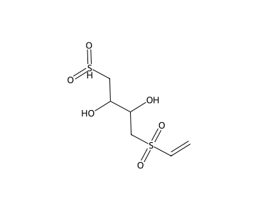 C=CS(=O)(=O)CC(O)C(O)C[SH](=O)=O